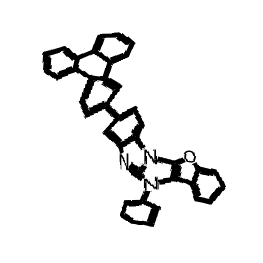 c1ccc(-n2c3c4ccccc4oc3n3c4ccc(-c5ccc6c7ccccc7c7ccccc7c6c5)cc4nc23)cc1